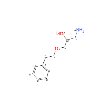 NCC(O)COCCc1ccccc1